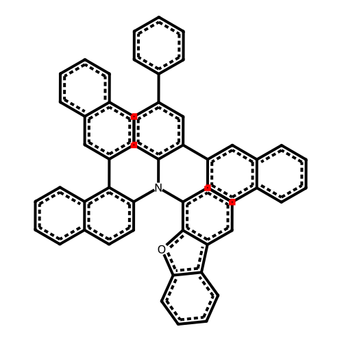 c1ccc(-c2ccc(N(c3ccc4ccccc4c3-c3ccc4ccccc4c3)c3cccc4c3oc3ccccc34)c(-c3ccc4ccccc4c3)c2)cc1